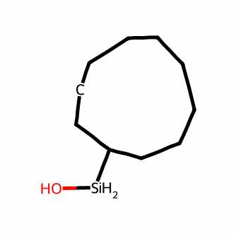 O[SiH2]C1CCCCCCCCC1